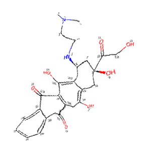 CN(C)CCN[C@H]1C[C@](O)(C(=O)CO)Cc2c(O)c3c(c(O)c21)C(=O)c1ccccc1C3=O